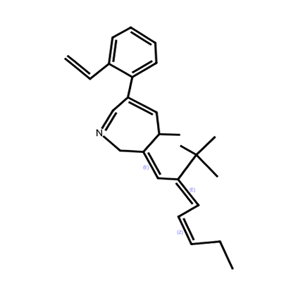 C=Cc1ccccc1C1=CC(C)\C(=C/C(=C\C=C/CC)C(C)(C)C)CN=C1